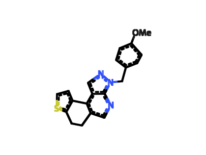 COc1ccc(Cn2ncc3c4c(cnc32)CCc2sccc2-4)cc1